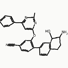 Cc1nc(Oc2cc(C#N)ccc2-c2ccc3c(c2)C(O)C(N)CC3)cc(-c2ccccc2)n1